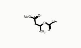 COC(=O)CC(C)OC(=O)C(C)C